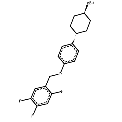 CCCC[C@H]1CC[C@H](c2ccc(OCc3cc(F)c(F)cc3F)cc2)CC1